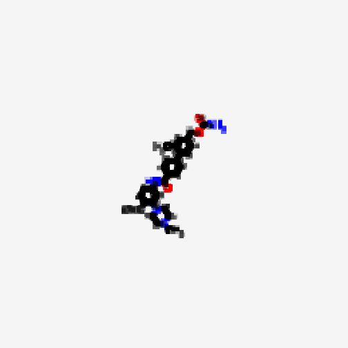 COc1ccc(NC(=O)c2ccc(-c3ccc(COC(N)=O)cc3C)cc2)cc1N1CCN(C)CC1